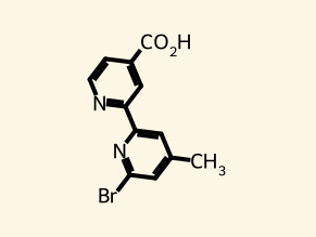 Cc1cc(Br)nc(-c2cc(C(=O)O)ccn2)c1